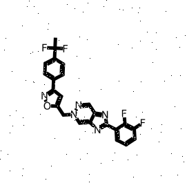 CC(F)(F)c1ccc(-c2cc(Cn3cc4nc(-c5cccc(F)c5F)nc-4cn3)on2)cc1